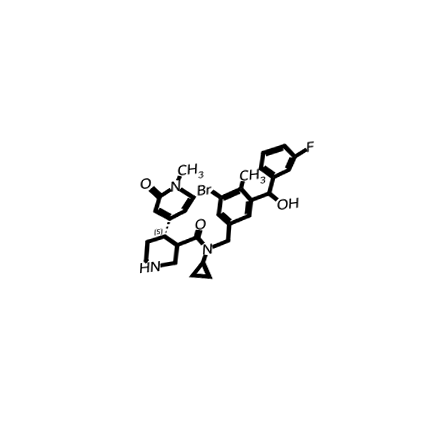 Cc1c(Br)cc(CN(C(=O)C2CNCC[C@@H]2c2ccn(C)c(=O)c2)C2CC2)cc1C(O)c1cccc(F)c1